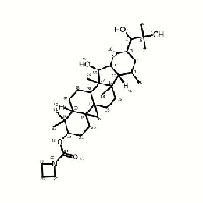 C[C@@H]1CC(C(O)C(C)(C)O)OC2[C@H]1C1(C)CCC34CC35CCC(OC(=O)N3CCC3)C(C)(C)[C@@H]5CCC4[C@]1(C)[C@H]2O